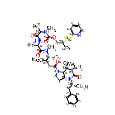 CC[C@H](C)[C@@H]([C@@H](CC(=O)N1CCCC1[C@H](OC)[C@@H](C)C(=O)N[C@@H](Cc1ccccc1)C(=O)O)OC)N(C)C(=O)C(NC(=O)C(C(C)C)N(C)C(=O)OCC(SSc1ccccn1)C(C)C)C(C)C